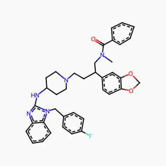 CN(CC(CCN1CCC(Nc2nc3ccccc3n2Cc2ccc(F)cc2)CC1)c1ccc2c(c1)OCO2)C(=O)c1ccccc1